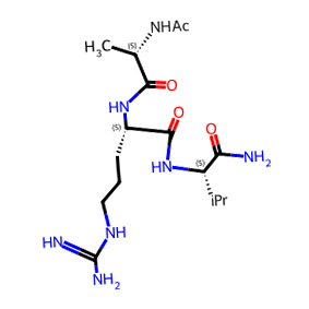 CC(=O)N[C@@H](C)C(=O)N[C@@H](CCCNC(=N)N)C(=O)N[C@H](C(N)=O)C(C)C